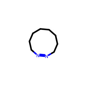 C1CCCC/N=N\CCC1